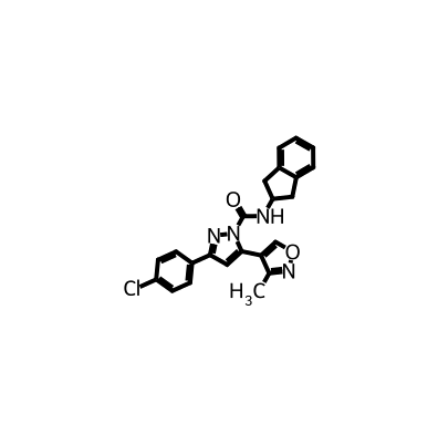 Cc1nocc1-c1cc(-c2ccc(Cl)cc2)nn1C(=O)NC1Cc2ccccc2C1